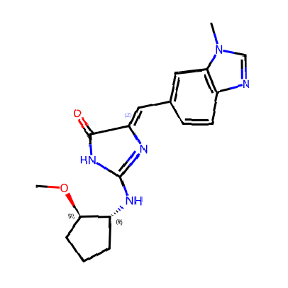 CO[C@@H]1CCC[C@H]1NC1=N/C(=C\c2ccc3ncn(C)c3c2)C(=O)N1